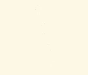 CC(F)(C(F)(F)F)C(F)(F)C(F)(F)C(F)(F)C(F)(F)C(F)(F)C(F)(F)C(F)(F)C(F)(F)C(F)(F)C(F)(F)C(C)(F)C(F)(F)F